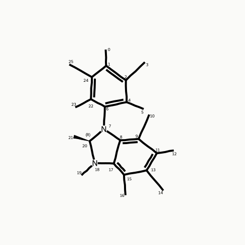 Cc1c(C)c(C)c(N2c3c(C)c(C)c(C)c(C)c3N(C)[C@H]2C)c(C)c1C